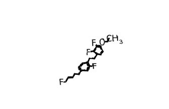 CCOc1ccc(CCc2ccc(CC/C=C/CF)cc2F)c(F)c1F